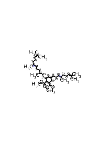 C=C(CC/C=C(\C)CCC=C(C)C)CC[C@@H]1C=C(CC/C=C(\C)CCC=C(C)C)C[C@@H](C(=O)OC)[C@@H]1C(=O)OC